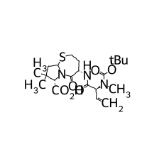 C=C[C@@H](C(=O)N[C@H]1CCSC2CC(C)(C)[C@@H](C(=O)O)N2C1=O)N(C)C(=O)OC(C)(C)C